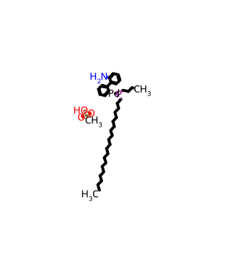 CCCCCCCCCCCCCCCCCCCCCC[P](CCCC)[Pd][c]1ccccc1-c1ccccc1N.CS(=O)(=O)O